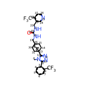 Cn1c(-c2ccccc2C(F)(F)F)nnc1C12CCC(CNC(=O)NCc3cnccc3C(F)(F)F)(CC1)CC2